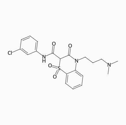 CN(C)CCCN1C(=O)C(C(=O)Nc2cccc(Cl)c2)S(=O)(=O)c2ccccc21